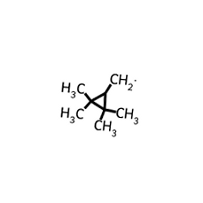 [CH2]C1C(C)(C)C1(C)C